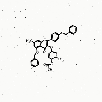 CC(=O)O[C@@H]1C=CC(Oc2c(-c3ccc(OCc4ccccc4)cc3)oc3cc(C)cc(OCc4ccccc4)c3c2=O)C[C@H]1C